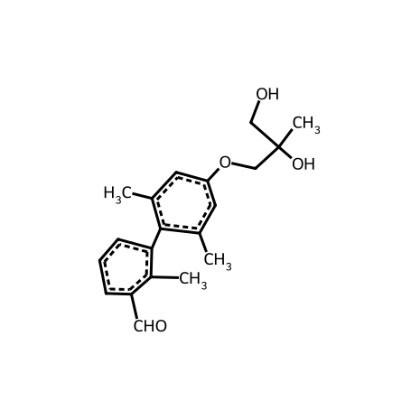 Cc1cc(OCC(C)(O)CO)cc(C)c1-c1cccc(C=O)c1C